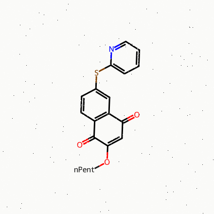 CCCCCOC1=CC(=O)c2cc(Sc3ccccn3)ccc2C1=O